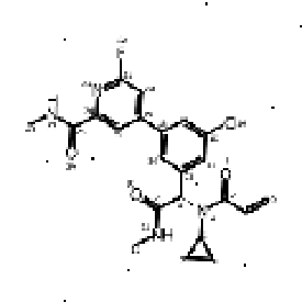 C=CC(=O)N(C1CC1)[C@H](C(=O)NC)c1cc(Cl)cc(-c2cc(F)nc(C(=O)NC)c2)c1